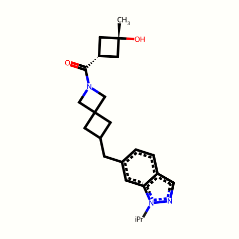 CC(C)n1ncc2ccc(CC3CC4(C3)CN(C(=O)[C@H]3C[C@@](C)(O)C3)C4)cc21